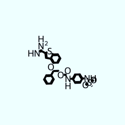 CS(=O)(=O)Nc1ccc(NC(=O)OCC(Oc2cccc3sc(C(=N)N)cc23)c2ccccc2)cc1